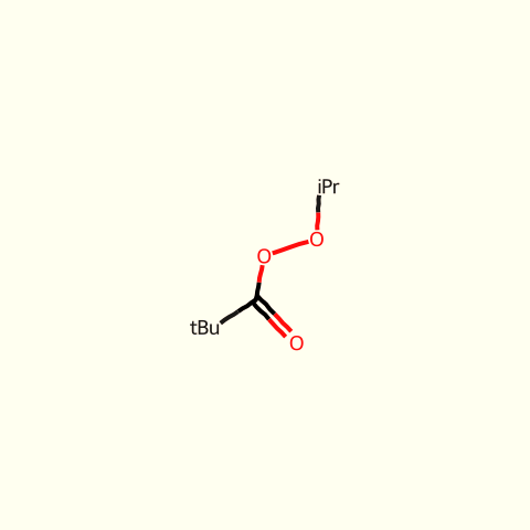 CC(C)OOC(=O)C(C)(C)C